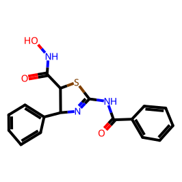 O=C(NC1=NC(c2ccccc2)C(C(=O)NO)S1)c1ccccc1